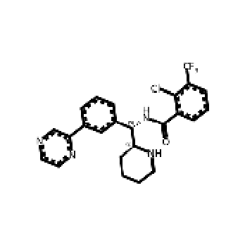 O=C(N[C@@H](c1cccc(-c2cnccn2)c1)[C@@H]1CCCCN1)c1cccc(C(F)(F)F)c1Cl